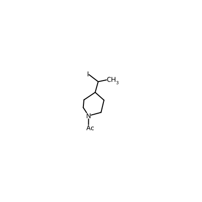 CC(=O)N1CCC(C(C)I)CC1